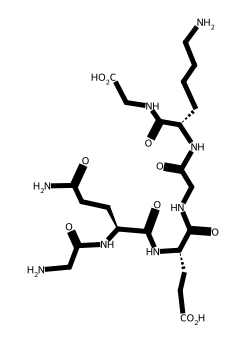 NCCCC[C@H](NC(=O)CNC(=O)[C@H](CCC(=O)O)NC(=O)[C@H](CCC(N)=O)NC(=O)CN)C(=O)NCC(=O)O